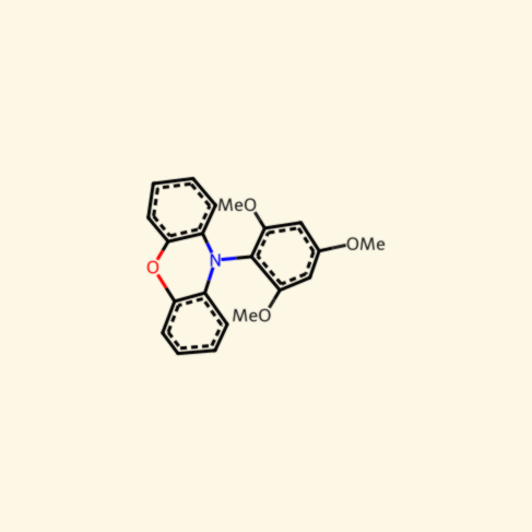 COc1cc(OC)c(N2c3ccccc3Oc3ccccc32)c(OC)c1